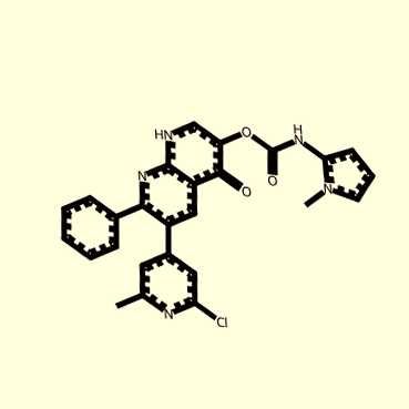 Cc1cc(-c2cc3c(=O)c(OC(=O)Nc4cccn4C)c[nH]c3nc2-c2ccccc2)cc(Cl)n1